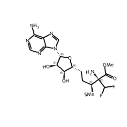 COC(=O)[C@](N)(C(F)F)[C@H](CC[C@H]1O[C@@H](n2cnc3c(N)ncnc32)[C@H](O)[C@@H]1O)SC